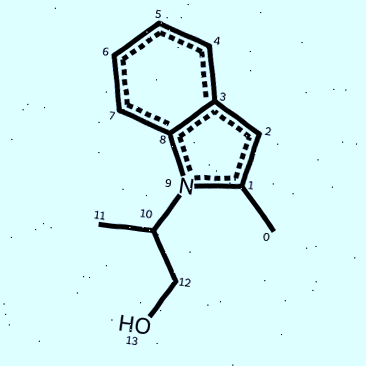 Cc1cc2ccccc2n1C(C)CO